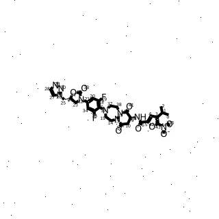 CC(C)c1cc(C(=O)N[C@H]2CC(=O)N3CCN(c4c(F)cc(N5C[C@H](Cn6ccnn6)OC5=O)cc4F)CCN3C2=O)oc1[N+](=O)[O-]